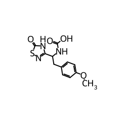 COc1ccc(CC(NC(=O)O)c2nsc(=O)[nH]2)cc1